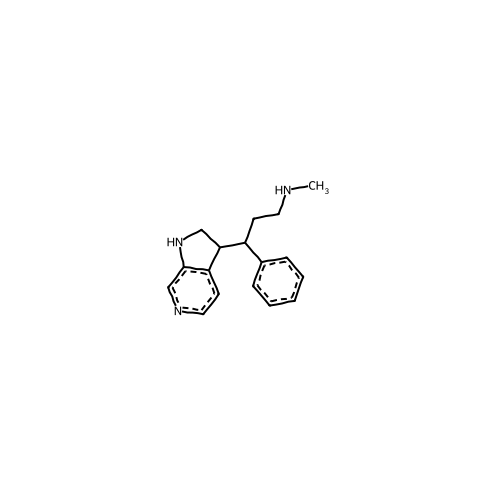 CNCCC(c1ccccc1)C1CNc2cnccc21